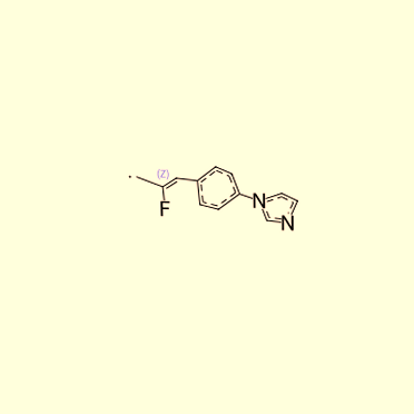 [CH2]/C(F)=C/c1ccc(-n2ccnc2)cc1